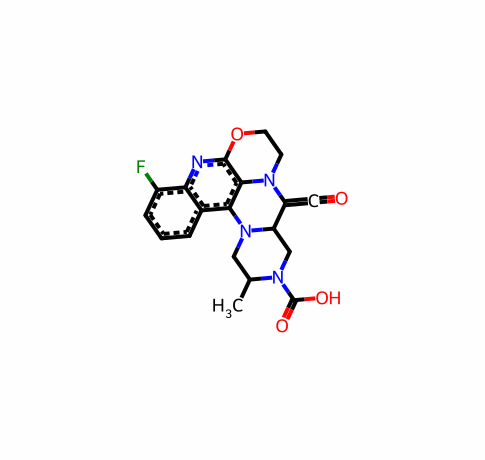 CC1CN2c3c4c(nc5c(F)cccc35)OCCN4C(=C=O)C2CN1C(=O)O